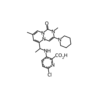 CC1=CN2C(=O)N(C)C(N3CCCCC3)=CN2C(C(C)Nc2ccc(Cl)nc2C(=O)O)=C1